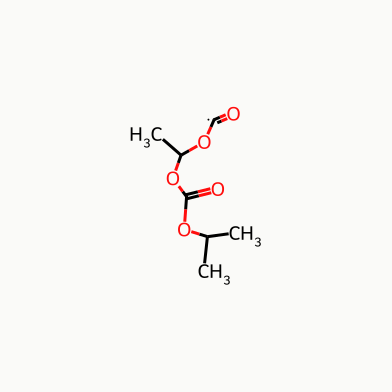 CC(C)OC(=O)OC(C)O[C]=O